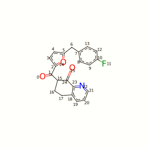 O=C(c1ccc(Cc2ccc(F)cc2)o1)C1CCc2cccnc2C1=O